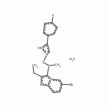 CCc1nc2ccc(Br)cn2c1N(C)Sn1cc(-c2ccc(F)cc2)[nH]1.S